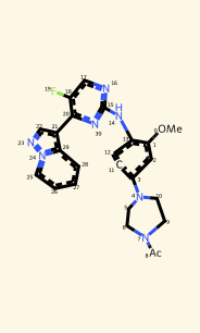 COc1cc(N2CCN(C(C)=O)CC2)ccc1Nc1ncc(F)c(-c2cnn3ccccc23)n1